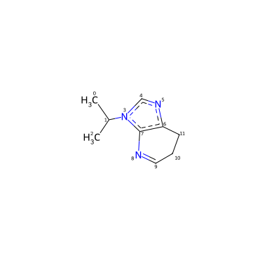 CC(C)n1cnc2c1N=CCC2